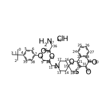 CC(C)(C)c1ccc(OC[C@H](CN2CCC3(CC2)CSC2=C(O3)c3ccccc3C(=O)C2=O)OC(=O)CN)cc1.Cl